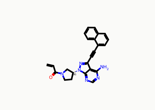 C=CC(=O)N1CC[C@@H](n2nc(C#Cc3cccc4ccccc34)c3c(N)ncnc32)C1